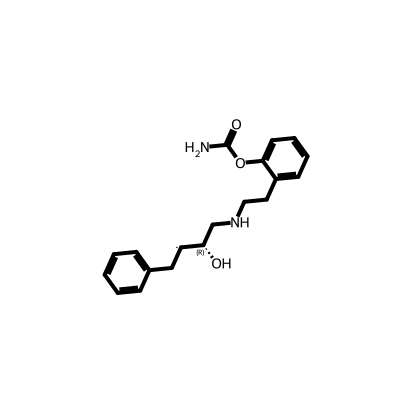 NC(=O)Oc1ccccc1CCNC[C@H](O)[CH]Cc1ccccc1